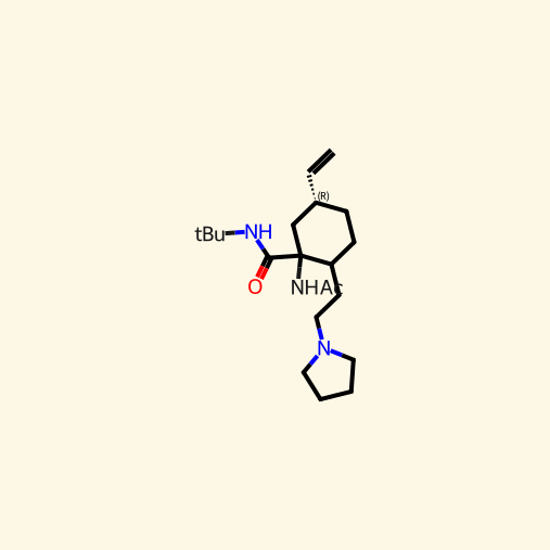 C=C[C@@H]1CCC(CCN2CCCC2)C(NC(C)=O)(C(=O)NC(C)(C)C)C1